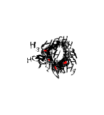 C[C@@H]1C[C@H]2C(=O)N[C@@H]([C@H](O)[C@@H](O)c3ccc(O)c(O)c3)C(=O)N[C@@H]([C@H](O)CC(N)=O)C(=O)N3C[C@H](C)[C@H](O)[C@H]3C(=O)N[C@H](O)[C@H](O)C[C@H](N)C(=O)N[C@@H]([C@@H](C)O)C(=O)N2C1